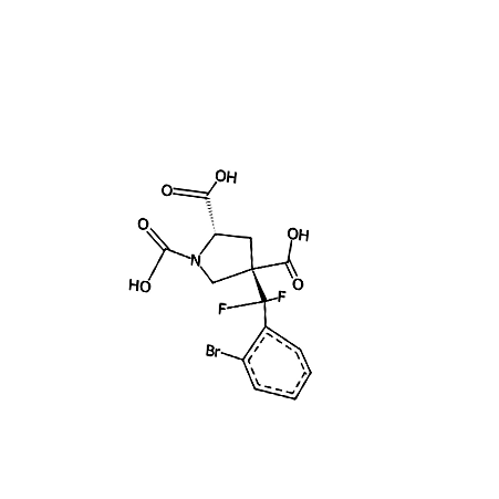 O=C(O)[C@@H]1C[C@@](C(=O)O)(C(F)(F)c2ccccc2Br)CN1C(=O)O